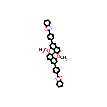 COc1ccc2cc(-c3ccc(-c4nc5ccccc5o4)cc3)ccc2c1-c1c(OC)ccc2cc(-c3ccc(-c4nc5ccccc5o4)cc3)ccc12